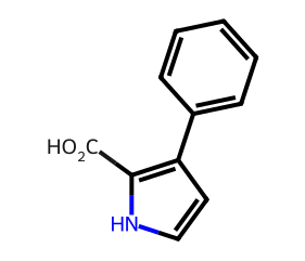 O=C(O)c1[nH]ccc1-c1ccccc1